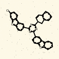 Clc1ccc2c(c1)oc1ccc(-c3nc(-c4ccc5oc6ccccc6c5c4)nc(C4C=Cc5ccccc5C4)n3)cc12